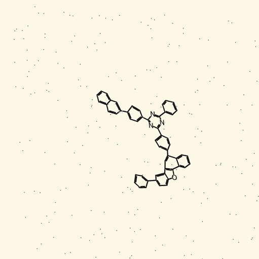 c1ccc(-c2ccc3oc4c5ccccc5c(-c5ccc(-c6nc(-c7ccccc7)nc(-c7ccc(-c8ccc9ccccc9c8)cc7)n6)cc5)cc4c3c2)cc1